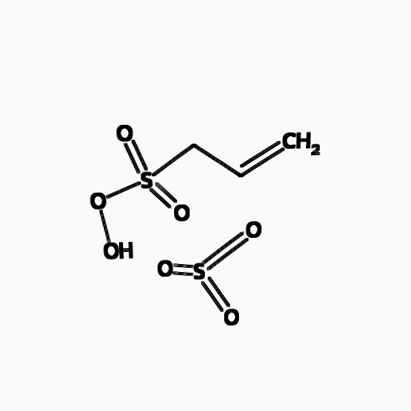 C=CCS(=O)(=O)OO.O=S(=O)=O